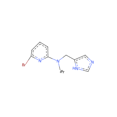 CC(C)N(Cc1cnc[nH]1)c1cccc(Br)n1